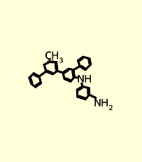 C[C@@H]1C=C(c2ccc(Nc3cccc(CN)c3)c(-c3ccccc3)c2)C=C(c2ccccc2)C1